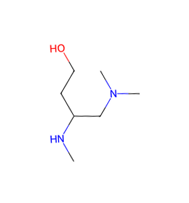 CNC(CCO)CN(C)C